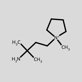 CC(C)(N)CC[N+]1(C)CCCC1